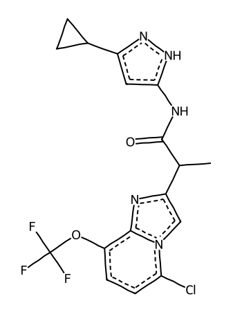 CC(C(=O)Nc1cc(C2CC2)n[nH]1)c1cn2c(Cl)ccc(OC(F)(F)F)c2n1